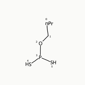 CCCCOP(S)S